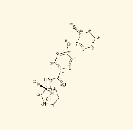 O=C(N[C@H]1CN2CCC1CC2)c1ccc(OC2=CC=CCC2=S)cc1